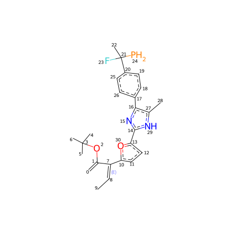 C=C(OC(C)(C)C)/C(=C\C)c1ccc(-c2nc(-c3ccc(C(C)(F)P)cc3)c(C)[nH]2)o1